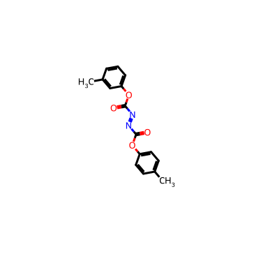 Cc1ccc(OC(=O)N=NC(=O)Oc2cccc(C)c2)cc1